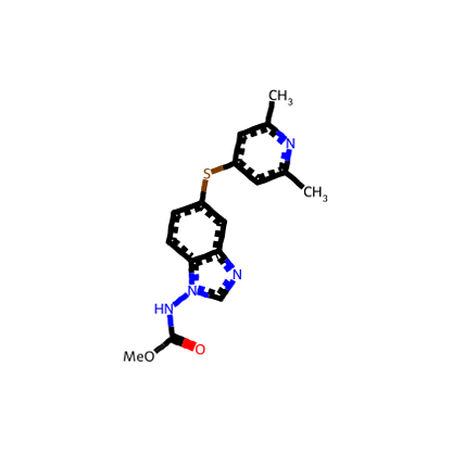 COC(=O)Nn1cnc2cc(Sc3cc(C)nc(C)c3)ccc21